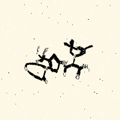 CC(C)CN(CC(C)(C)C)[C@@H](C(N)=O)C(=O)Nc1ccc(N2CCOCC2=O)c(C(F)(F)F)c1